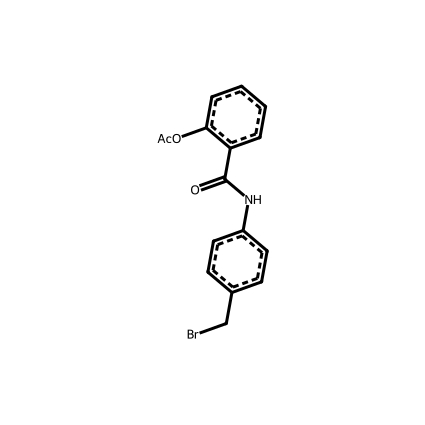 CC(=O)Oc1ccccc1C(=O)Nc1ccc(CBr)cc1